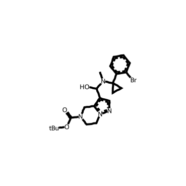 CN(C(O)c1cnn2c1CN(C(=O)OC(C)(C)C)CC2)C1(c2ccccc2Br)CC1